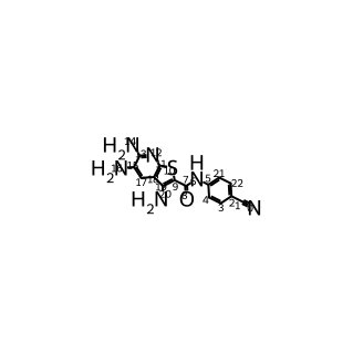 N#Cc1ccc(NC(=O)c2sc3nc(N)c(N)cc3c2N)cc1